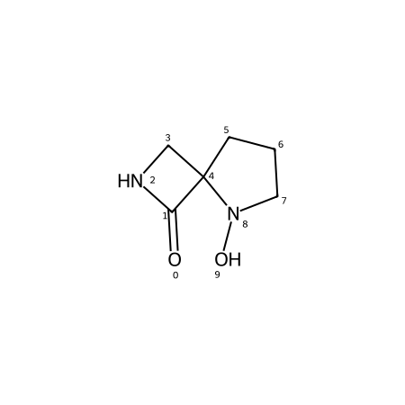 O=C1NCC12CCCN2O